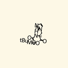 COC(=O)[C@H](Cn1ccnn1)NC(=O)OC(C)(C)C